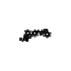 CC(C)C(C#N)(CCCN1CCN(Cc2ccccc2NS(C)(=O)=O)CC1)c1ccccc1